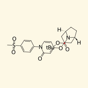 CC(C)(C)OC(=O)N1[C@@H]2CC[C@@H]1CC(Oc1ccn(-c3ccc(S(C)(=O)=O)cc3)c(=O)c1)C2